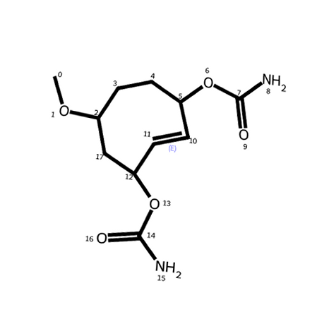 COC1CCC(OC(N)=O)/C=C/C(OC(N)=O)C1